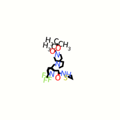 CC(C)(C)OC(=O)N1CCC2(CCCN2Cc2ccc(C(F)(F)F)nc2CC(=O)NSC2CC2)CC1